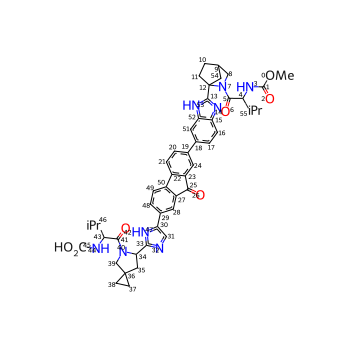 COC(=O)NC(C(=O)N1CC2CCC1(c1nc3ccc(-c4ccc5c(c4)C(=O)c4cc(-c6cnc(C7CC8(CC8)CN7C(=O)C(NC(=O)O)C(C)C)[nH]6)ccc4-5)cc3[nH]1)C2)C(C)C